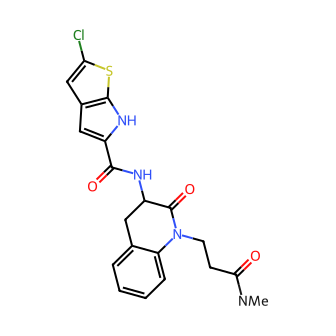 CNC(=O)CCN1C(=O)C(NC(=O)c2cc3cc(Cl)sc3[nH]2)Cc2ccccc21